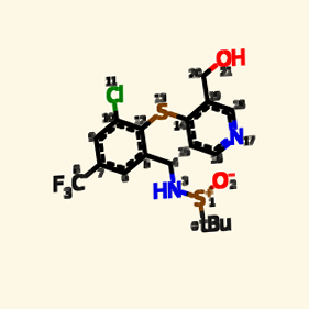 CC(C)(C)[S+]([O-])NCc1cc(C(F)(F)F)cc(Cl)c1Sc1ccncc1CO